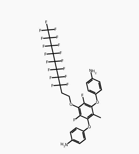 Cc1c(Oc2ccc(N)cc2)c(F)c(OCCC(F)(F)C(F)(F)C(F)(F)C(F)(F)C(F)(F)C(F)(F)C(F)(F)C(F)(F)F)c(F)c1Oc1ccc(N)cc1